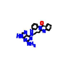 Nc1nc(NCCCc2nc3ccccc3c(=O)n2-c2ccccc2)c2nc[nH]c2n1